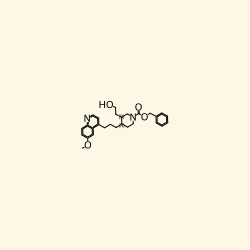 COc1ccc2nccc(CCC[C@@H]3CCN(C(=O)OCc4ccccc4)C[C@@H]3CCO)c2c1